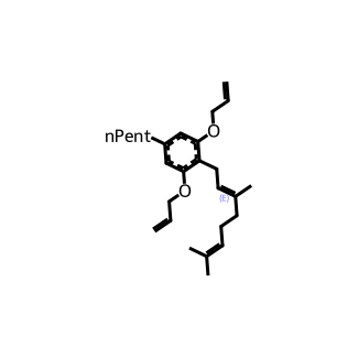 C=CCOc1cc(CCCCC)cc(OCC=C)c1C/C=C(\C)CCC=C(C)C